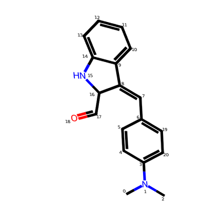 CN(C)c1ccc(C=C2c3ccccc3NC2C=O)cc1